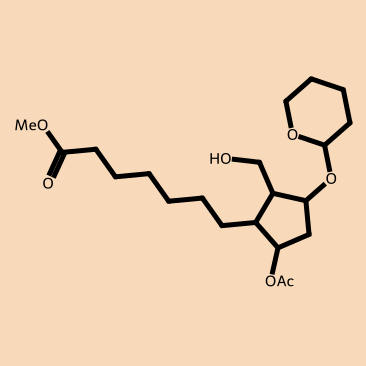 COC(=O)CCCCCCC1C(OC(C)=O)CC(OC2CCCCO2)C1CO